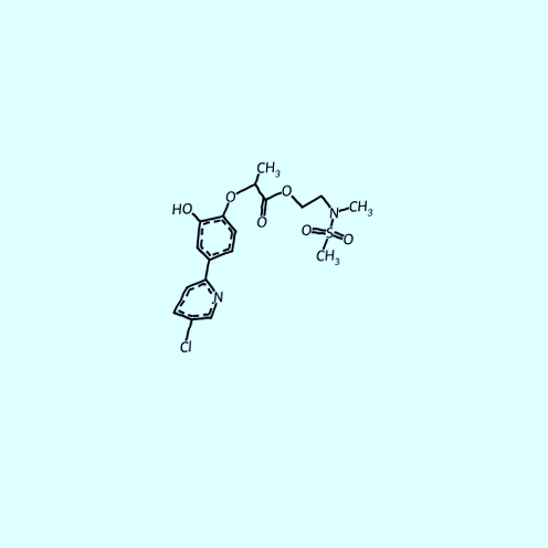 CC(Oc1ccc(-c2ccc(Cl)cn2)cc1O)C(=O)OCCN(C)S(C)(=O)=O